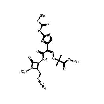 CC(C)(C)OC(=O)Nc1nc(C(=NOC(C)(C)C(=O)OC(C)(C)C)C(=O)N[C@@H]2C(=O)N(S(=O)(=O)O)[C@@H]2CN=[N+]=[N-])cs1